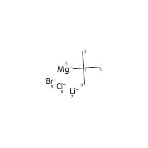 C[C](C)(C)[Mg+].[Br-].[Cl-].[Li+]